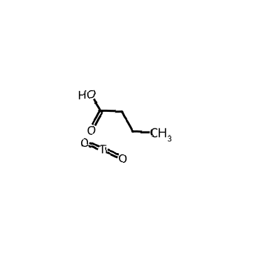 CCCC(=O)O.[O]=[Ti]=[O]